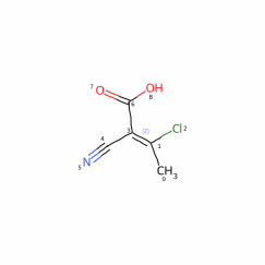 C/C(Cl)=C(\C#N)C(=O)O